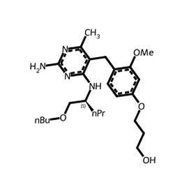 CCCCOC[C@H](CCC)Nc1nc(N)nc(C)c1Cc1ccc(OCCCO)cc1OC